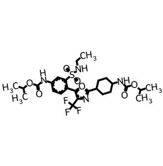 CCNS(=O)(=O)c1cc(NC(=O)OC(C)C)ccc1-c1oc(C2CCC(NC(=O)OC(C)C)CC2)nc1C(F)(F)F